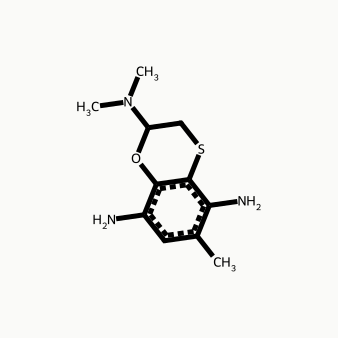 Cc1cc(N)c2c(c1N)SCC(N(C)C)O2